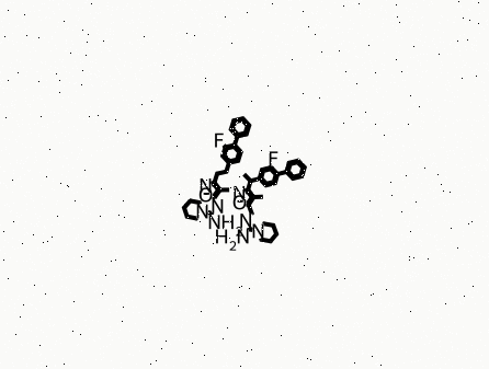 Cc1c(C(C)c2ccc(-c3ccccc3)c(F)c2)noc1CN=C(N)N1CCCCC1.Cc1c(CCc2ccc(-c3ccccc3)c(F)c2)noc1N=C(N)N1CCCCC1